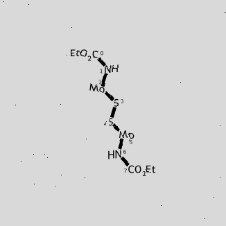 CCOC(=O)[NH][Mo][S][S][Mo][NH]C(=O)OCC